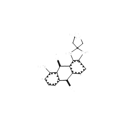 CCC1(CC)Nc2ccc3c(c2N1)C(=O)c1c(N)cccc1C3=O